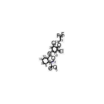 CO/C=C(/C(=O)OC)c1ccccc1COc1cc(Cl)c(OCC=C(F)F)c(Cl)c1